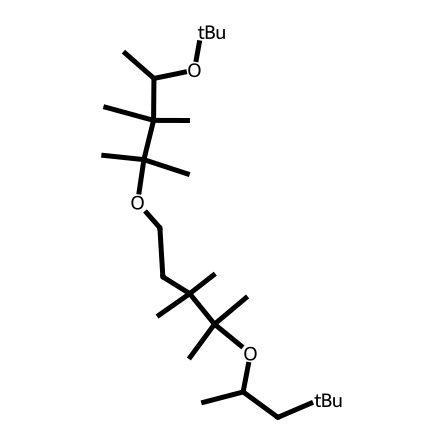 CC(CC(C)(C)C)OC(C)(C)C(C)(C)CCOC(C)(C)C(C)(C)C(C)OC(C)(C)C